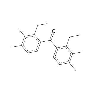 CCc1c(C(=O)c2ccc(C)c(C)c2CC)ccc(C)c1C